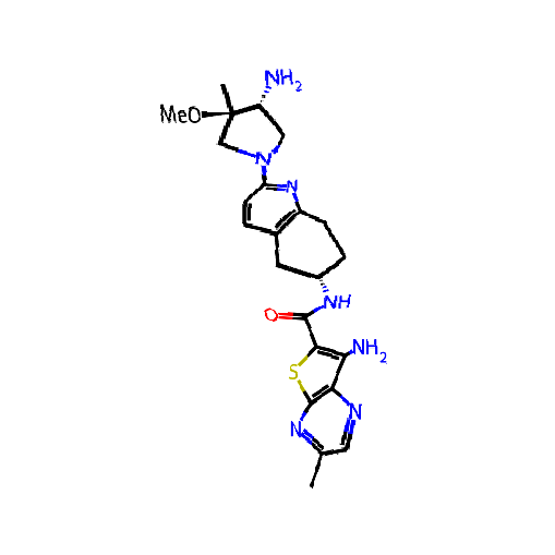 CO[C@]1(C)CN(c2ccc3c(n2)CC[C@H](NC(=O)c2sc4nc(C)cnc4c2N)C3)C[C@H]1N